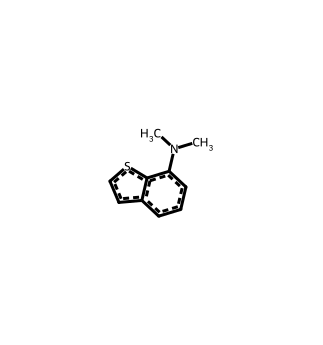 CN(C)c1cccc2ccsc12